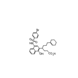 O=C(O)CCC(CCCC1=CCCCC1)c1cc(NS(=O)(=O)c2ccc(Br)cc2)c2ccccc2c1O